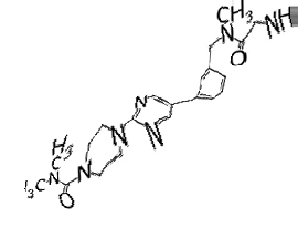 CN(C)C(=O)N1CCN(c2ncc(-c3cccc(CN(C)C(=O)CN)c3)cn2)CC1